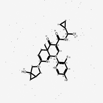 CC12CC=C(N3CC4CC4(O)C3)N=C1N(c1ncc(F)cc1F)C=C(C(=O)NC(C1CC1)C(F)(F)F)C2=O